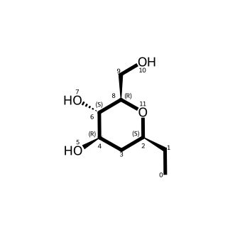 CC[C@H]1C[C@@H](O)[C@H](O)[C@@H](CO)O1